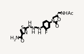 CC(=O)NC[C@H]1CN(c2ccc(NCNNc3nc(C(N)=O)cs3)c(F)c2)C(=O)O1